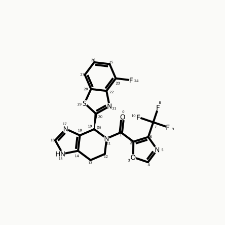 O=C(c1ocnc1C(F)(F)F)N1CCc2[nH]cnc2[C@H]1c1nc2c(F)cccc2s1